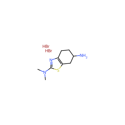 Br.Br.CN(C)c1nc2c(s1)CC(N)CC2